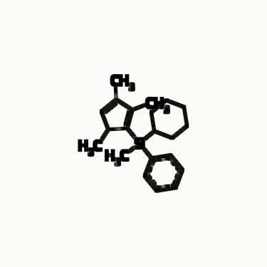 CC1=CC(C)C([Si](C)(c2ccccc2)C2CCCCC2)=C1C